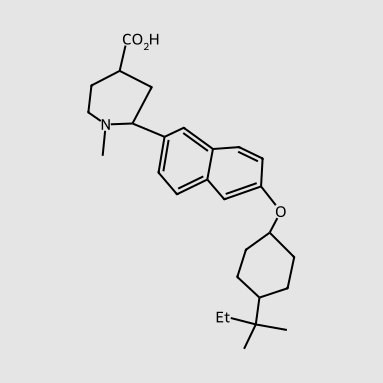 CCC(C)(C)C1CCC(Oc2ccc3cc(C4CC(C(=O)O)CCN4C)ccc3c2)CC1